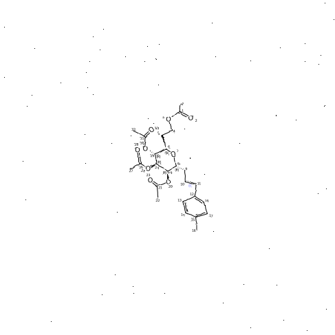 CC(=O)OCC[C@H]1O[C@H](C/C=C/c2ccc(I)cc2)[C@@H](OC(C)=O)[C@@H](OC(C)=O)[C@@H]1OC(C)=O